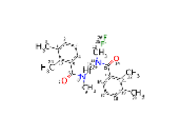 Cc1cccc(C(=O)[N](C)[Hf+2][N](C)C(=O)c2cccc(C)c2C)c1C.[F-].[F-]